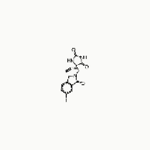 C#C[C@]1(CN2Cc3ccc(I)cc3C2=O)NC(=O)NC1=O